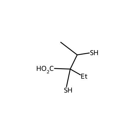 CCC(S)(C(=O)O)C(C)S